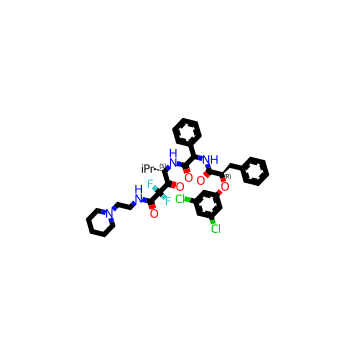 CC(C)[C@H](NC(=O)C(NC(=O)[C@@H](Cc1ccccc1)Oc1cc(Cl)cc(Cl)c1)c1ccccc1)C(=O)C(F)(F)C(=O)NCCN1CCCCC1